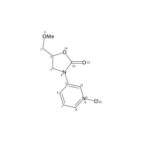 COCC1CN(c2ccc[n+]([O-])c2)C(=O)O1